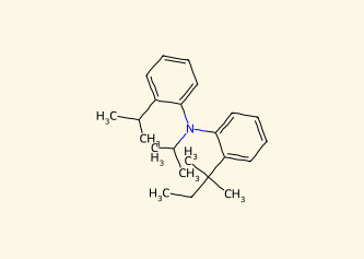 CCC(C)(C)c1ccccc1N(c1ccccc1C(C)C)C(C)C